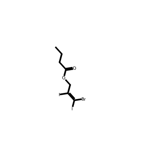 CCCC(=O)OC/C(I)=C(\Br)I